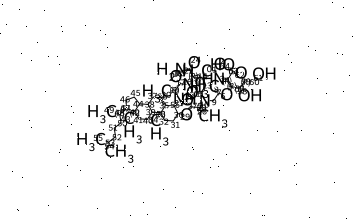 CC(=O)N[C@@H]1[C@@H](OC(C)CN(C(=O)CC[C@@H](NC(=O)[C@H](C)N)C(N)=O)[C@@H](C)C(=O)OC2CC[C@@]3(C)C(=CCC4C3CC[C@@]3(C)C4CC[C@@H]3[C@H](C)CCCC(C)C)C2)[C@H](O)[C@@H](CO)O[C@@H]1O